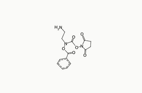 NCCN(OC(=O)c1ccccc1)C(=O)ON1C(=O)CCC1=O